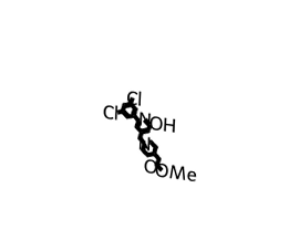 COC(=O)CC1CCN(Cc2cc(O)nc(-c3cc(Cl)cc(Cl)c3)c2)CC1